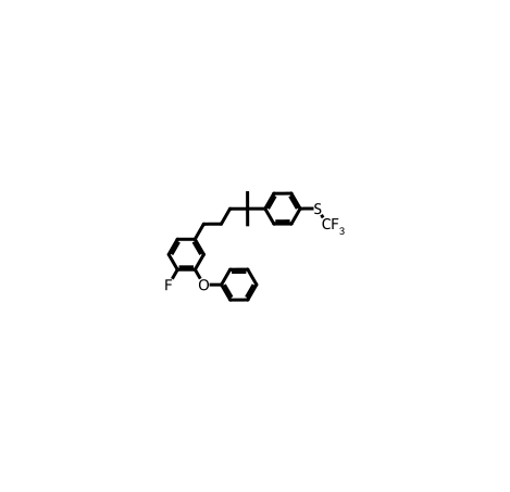 CC(C)(CCCc1ccc(F)c(Oc2ccccc2)c1)c1ccc(SC(F)(F)F)cc1